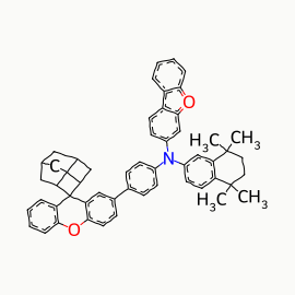 CC1(C)CCC(C)(C)c2cc(N(c3ccc(-c4ccc5c(c4)C4(c6ccccc6O5)C5CC6CC7CC4C75C6)cc3)c3ccc4c(c3)oc3ccccc34)ccc21